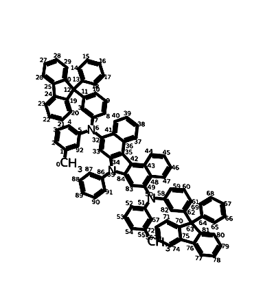 Cc1cccc(N(c2cccc(C3(c4ccccc4)c4ccccc4-c4ccccc43)c2)c2cc3c(c4ccccc24)c2c4ccccc4c(N(c4cccc(C)c4)c4cccc(C5(c6ccccc6)c6ccccc6-c6ccccc65)c4)cc2n3-c2ccccc2)c1